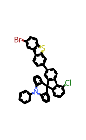 Clc1cccc2c1-c1ccc(-c3ccc4c(c3)sc3ccc(Br)cc34)cc1C21c2ccccc2N(c2ccccc2)c2ccccc21